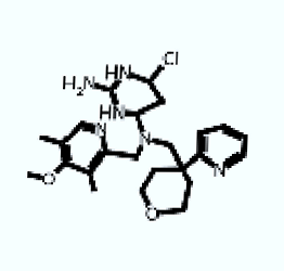 COc1c(C)cnc(CN(CC2(c3ccccn3)CCOCC2)C2CC(Cl)NC(N)N2)c1C